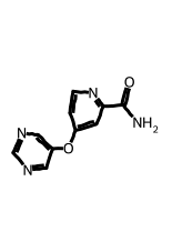 NC(=O)c1cc(Oc2cncnc2)ccn1